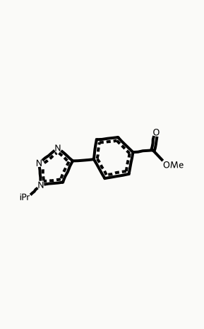 COC(=O)c1ccc(-c2cn(C(C)C)nn2)cc1